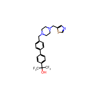 OC(c1ccc(-c2ccc(CN3CCN(Cc4cncs4)CC3)cc2)cc1)(C(F)(F)F)C(F)(F)F